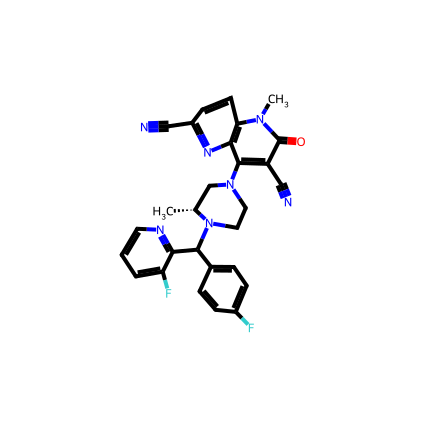 C[C@@H]1CN(c2c(C#N)c(=O)n(C)c3ccc(C#N)nc23)CCN1C(c1ccc(F)cc1)c1ncccc1F